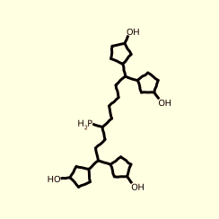 OC1CCC(C(CCCCC(P)CCC(C2CCC(O)C2)C2CCC(O)C2)C2CCC(O)C2)C1